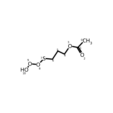 CC(=O)OCCCSOOO